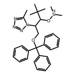 Cc1nnnn1C(COC(c1ccccc1)(c1ccccc1)c1ccccc1)C(O[SiH](C)C)C(C)(C)C